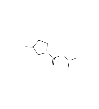 CN(C)OC(=O)N1CCC(F)C1